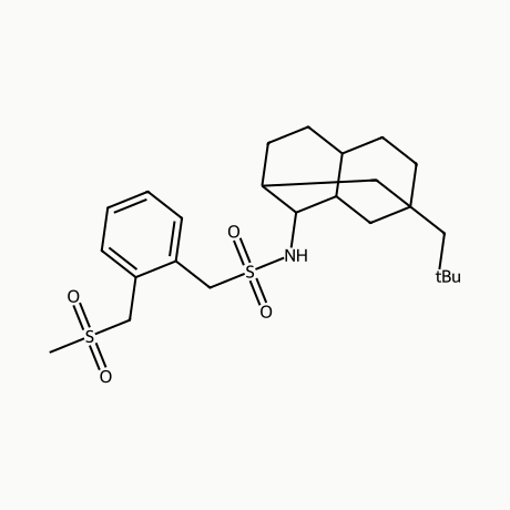 CC(C)(C)CC12CCC3CCC(C1)C(NS(=O)(=O)Cc1ccccc1CS(C)(=O)=O)C3C2